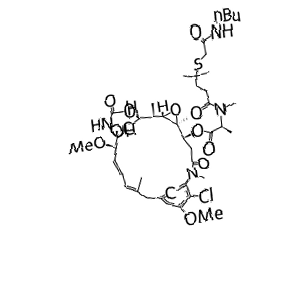 CCCCNC(=O)CSC(C)(C)CCC(=O)N(C)[C@@H](C)C(=O)O[C@H]1CC(=O)N(C)c2cc(cc(OC)c2Cl)C/C(C)=C/C=C/[C@@H](OC)[C@@]2(O)C[C@H](OC(=O)N2)[C@@H](C)[C@@H]2O[C@@]12C